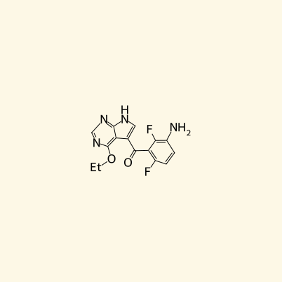 CCOc1ncnc2[nH]cc(C(=O)c3c(F)ccc(N)c3F)c12